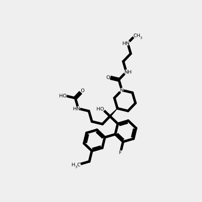 CCc1cccc(-c2c(F)cccc2C(O)(CCCNC(=O)O)[C@@H]2CCCN(C(=O)NCCNC)C2)c1